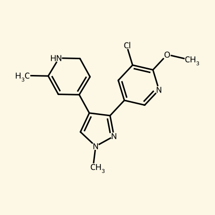 COc1ncc(-c2nn(C)cc2C2=CCNC(C)=C2)cc1Cl